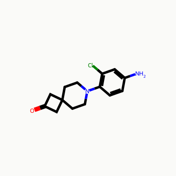 Nc1ccc(N2CCC3(CC2)CC(=O)C3)c(Cl)c1